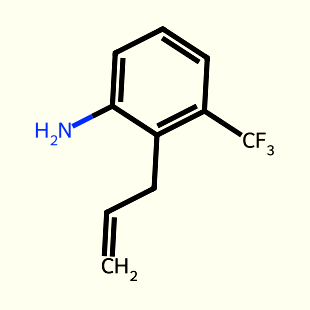 C=CCc1c(N)cccc1C(F)(F)F